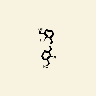 OCc1cccc(COCc2cccc(CO)c2O)c1O